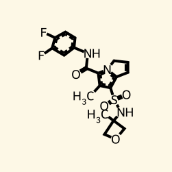 Cc1c(S(=O)(=O)NC2(C)COC2)c2n(c1C(=O)Nc1ccc(F)c(F)c1)CC=C2